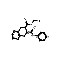 CCOC(=O)C1Cc2ccccc2CN1C(=O)Nc1ccccc1